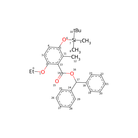 CCOc1ccc(O[Si](C)(C)C(C)(C)C)c(C)c1C(=O)OC(c1ccccc1)c1ccccc1